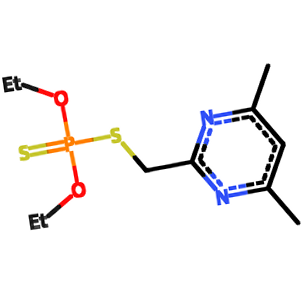 CCOP(=S)(OCC)SCc1nc(C)cc(C)n1